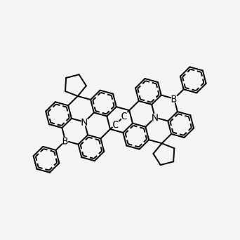 c1ccc(B2c3cccc4c3N3c5c2cccc5C25CCC6(c7cccc8c7N7c9c(cccc9C9(CCCC9)c9ccc2c6c97)B8c2ccccc2)c2ccc(c3c25)C42CCCC2)cc1